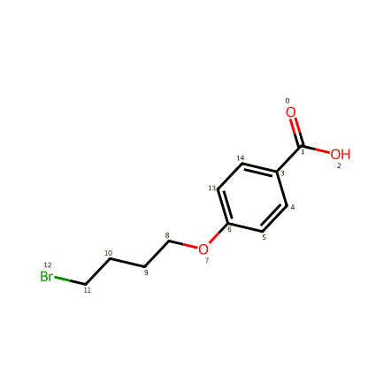 O=C(O)c1ccc(OCCCCBr)cc1